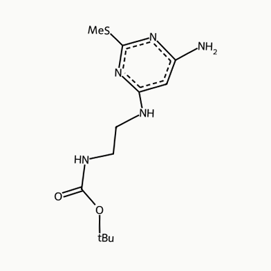 CSc1nc(N)cc(NCCNC(=O)OC(C)(C)C)n1